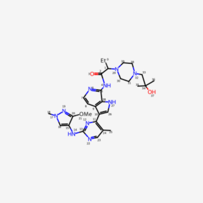 CCC(C(=O)Nc1nccc2c(-c3nc(Nc4cn(C)nc4OC)ncc3C)c[nH]c12)N1CCN(CC(C)(C)O)CC1